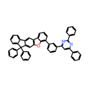 c1ccc(-c2cc(-c3cccc(-c4cccc5c4oc4cc6c(cc45)-c4ccccc4C6(c4ccccc4)c4ccccc4)c3)nc(-c3ccccc3)n2)cc1